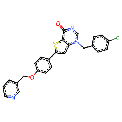 O=c1ncn(Cc2ccc(Cl)cc2)c2cc(-c3ccc(OCc4cccnc4)cc3)sc12